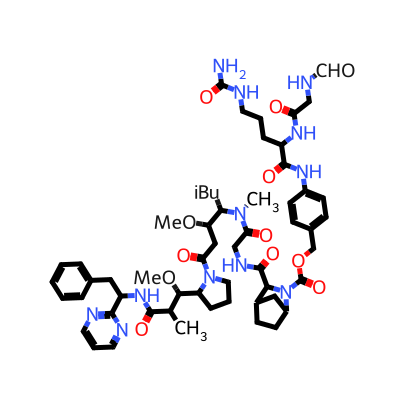 CCC(C)C(C(CC(=O)N1CCCC1C(OC)C(C)C(=O)NC(Cc1ccccc1)c1ncccn1)OC)N(C)C(=O)CNC(=O)C1C2CCC(C2)N1C(=O)OCc1ccc(NC(=O)C(CCCNC(N)=O)NC(=O)CNC=O)cc1